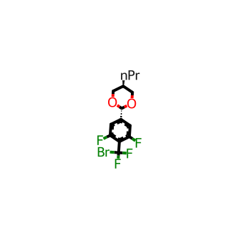 CCC[C@H]1CO[C@H](c2cc(F)c(C(F)(F)Br)c(F)c2)OC1